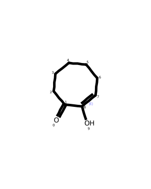 O=C1CCCCC/C=C\1O